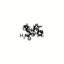 Cc1ncc(C(=O)NC(Cc2ccco2)C(=O)C(N)=O)n1-c1ccccn1